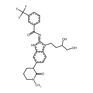 CN1CCCC(c2ccc3c(c2)[nH]/c(=N\C(=O)c2cccc(C(F)(F)F)c2)n3CCC(O)CO)C1=O